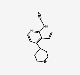 C=Cc1c(C2CCNCC2)ccnc1NC#N